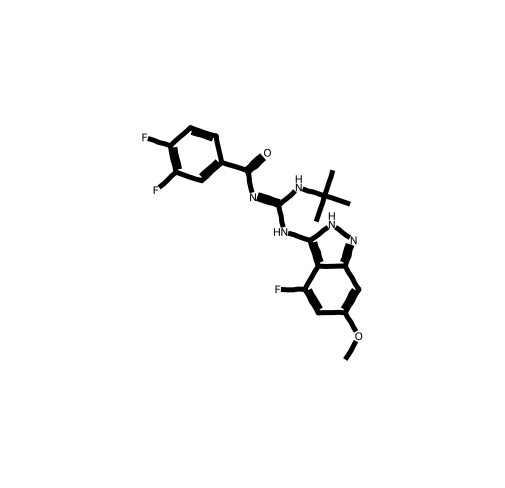 COc1cc(F)c2c(N/C(=N/C(=O)c3ccc(F)c(F)c3)NC(C)(C)C)[nH]nc2c1